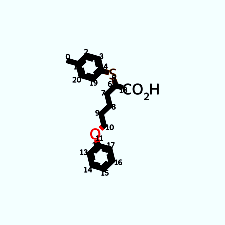 Cc1ccc(SC(CCCCOc2ccccc2)C(=O)O)cc1